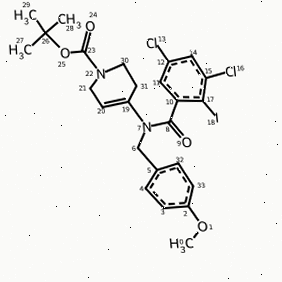 COc1ccc(CN(C(=O)c2cc(Cl)cc(Cl)c2I)C2=CCN(C(=O)OC(C)(C)C)CC2)cc1